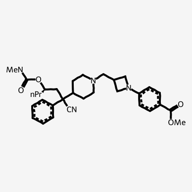 CCC[C@H](CC(C#N)(c1ccccc1)C1CCN(CC2CN(c3ccc(C(=O)OC)cc3)C2)CC1)OC(=O)NC